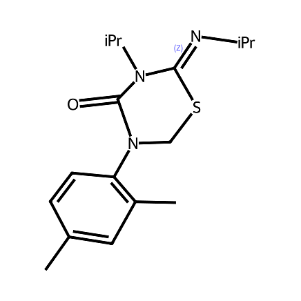 Cc1ccc(N2CS/C(=N\C(C)C)N(C(C)C)C2=O)c(C)c1